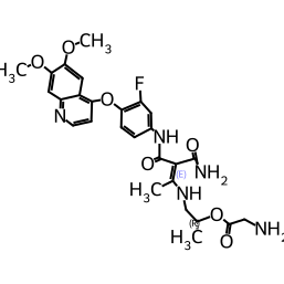 COc1cc2nccc(Oc3ccc(NC(=O)/C(C(N)=O)=C(\C)NC[C@@H](C)OC(=O)CN)cc3F)c2cc1OC